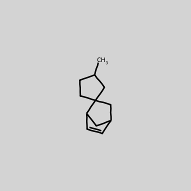 CC1CCC2(C1)CC1C=CC2C1